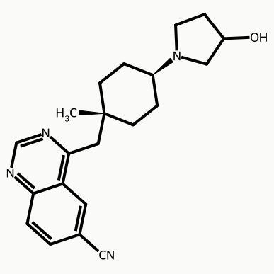 C[C@]1(Cc2ncnc3ccc(C#N)cc23)CC[C@H](N2CCC(O)C2)CC1